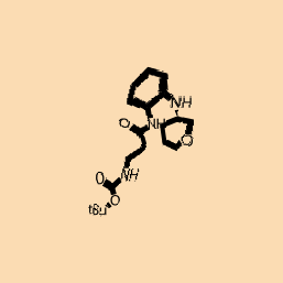 CC(C)(C)OC(=O)NCCC(=O)Nc1ccccc1N[C@H]1CCCOC1